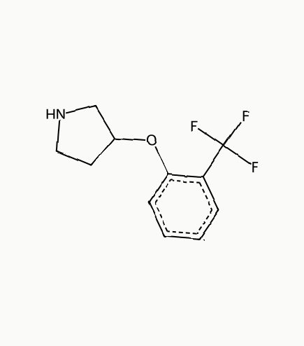 FC(F)(F)c1c[c]ccc1OC1CCNC1